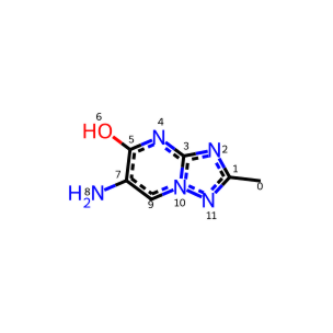 Cc1nc2nc(O)c(N)cn2n1